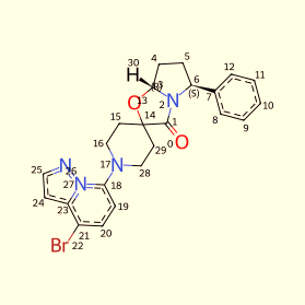 O=C1N2[C@@H](CC[C@H]2c2ccccc2)OC12CCN(c1ccc(Br)c3ccnn13)CC2